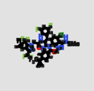 CSNc1nn(C)c2c(-n3c(C(Cc4cc(F)cc(F)c4)NC(=O)Cn4nc(C(F)F)c5c4C(F)(F)[C@@H]4CC54)nc4cc(C5(C(F)(F)F)CC5)ccc4c3=O)ccc(Cl)c12